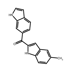 Cc1ccc2[nH]c(C(=O)c3ccc4cc[nH]c4c3)cc2c1